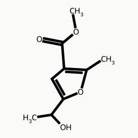 COC(=O)c1cc(C(C)O)oc1C